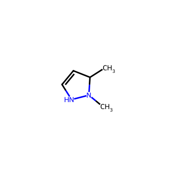 CC1C=CNN1C